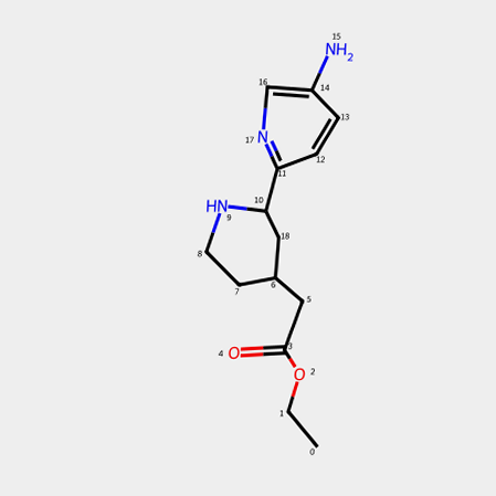 CCOC(=O)CC1CCNC(c2ccc(N)cn2)C1